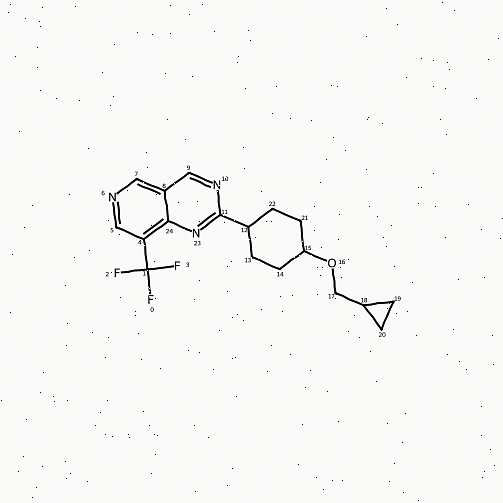 FC(F)(F)c1cncc2cnc(C3CCC(OCC4CC4)CC3)nc12